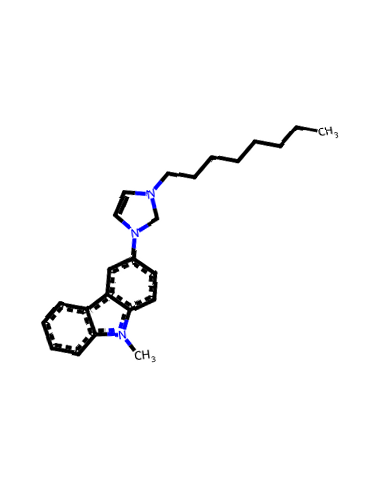 CCCCCCCCN1C=CN(c2ccc3c(c2)c2ccccc2n3C)C1